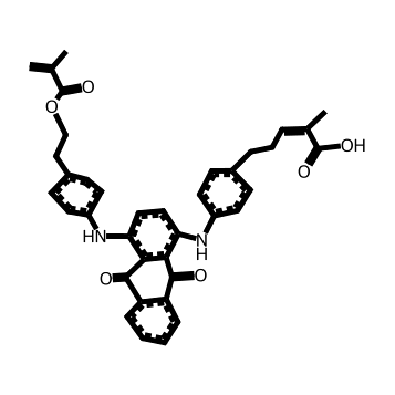 C=C(C)C(=O)OCCc1ccc(Nc2ccc(Nc3ccc(CCC=C(C)C(=O)O)cc3)c3c2C(=O)c2ccccc2C3=O)cc1